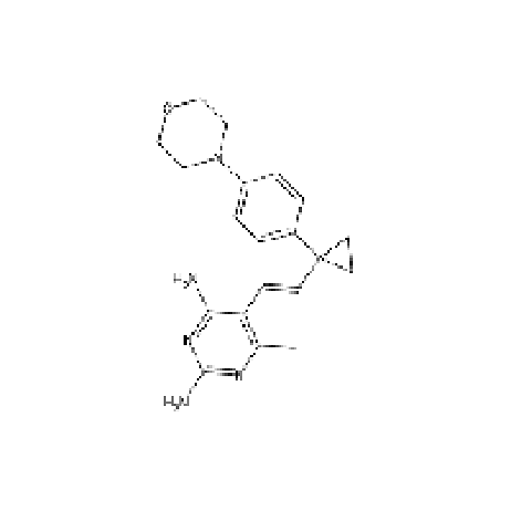 Cc1nc(N)nc(N)c1C=CC1(c2ccc(N3CCOCC3)cc2)CC1